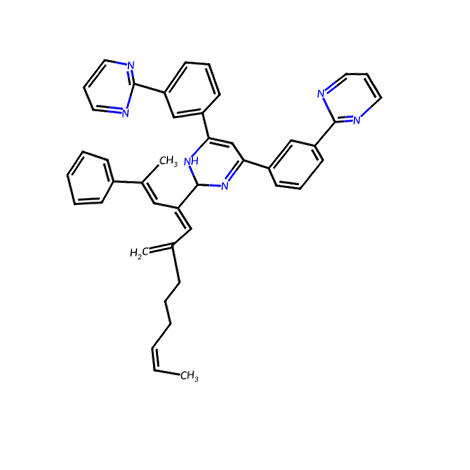 C=C(/C=C(\C=C(/C)c1ccccc1)C1N=C(c2cccc(-c3ncccn3)c2)C=C(c2cccc(-c3ncccn3)c2)N1)CCC/C=C\C